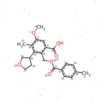 COc1cc(C(=O)O)c(COC(=O)c2ccc(C)cc2)c(C2CCOC2)c1C